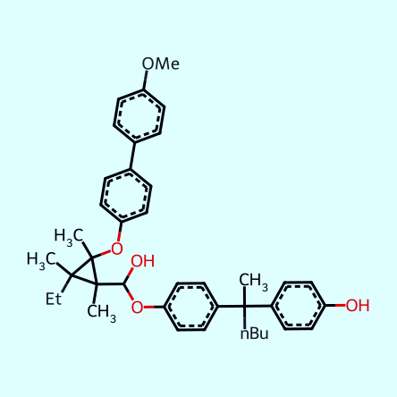 CCCCC(C)(c1ccc(O)cc1)c1ccc(OC(O)C2(C)C(C)(CC)C2(C)Oc2ccc(-c3ccc(OC)cc3)cc2)cc1